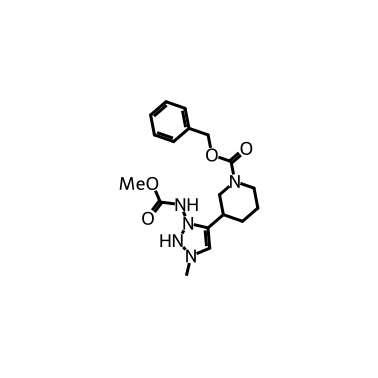 COC(=O)NN1NN(C)C=C1C1CCCN(C(=O)OCc2ccccc2)C1